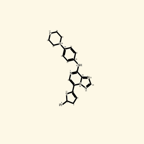 CC(C)C1CC=C(c2cnc(Nc3ccc(N4CCOCC4)cc3)c3ncnn23)S1